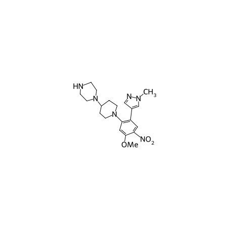 COc1cc(N2CCC(N3CCNCC3)CC2)c(-c2cnn(C)c2)cc1[N+](=O)[O-]